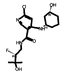 CC(C)(O)[C@H](F)CNC(=O)c1cnc(Cl)cc1N[C@H]1CCC[C@@H](O)C1